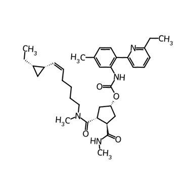 CCc1cccc(-c2ccc(C)cc2NC(=O)O[C@@H]2C[C@@H](C(=O)NC)[C@H](C(=O)N(C)CCCC/C=C\[C@@H]3C[C@@H]3CC)C2)n1